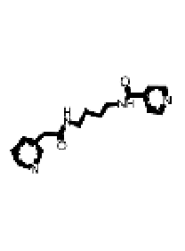 O=C(Cc1cccnc1)NCCCCNC(=O)c1ccncc1